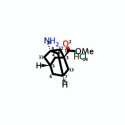 COC(=O)[C@@]12C[C@@H]3C[C@@H](C[C@@](N)(C3)C1)C2.Cl